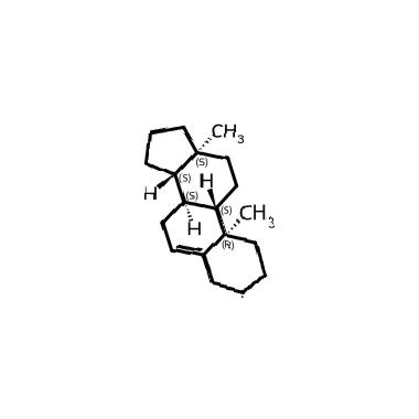 C[C@@]12CCC[C@H]1[C@@H]1CC=C3C[CH]CC[C@]3(C)[C@H]1CC2